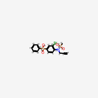 C#CCN(c1ccc(S(=O)(=O)c2ccccc2)cc1Br)S(C)(=O)=O